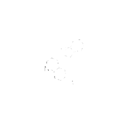 O=Cc1ccc2nccc(-c3cc4ccccc4o3)c2c1